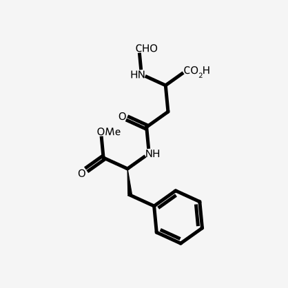 COC(=O)[C@H](Cc1ccccc1)NC(=O)CC(NC=O)C(=O)O